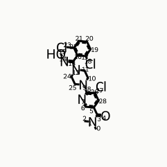 CN(C)C(=O)c1cnc(N2CCN(C(=NO)c3c(Cl)cccc3Cl)CC2)c(Cl)c1